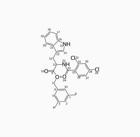 Cc1cc(C)cc(COC(=O)C(Cc2c[nH]c3ccccc23)NC(=O)c2ccc(Cl)cc2Cl)c1